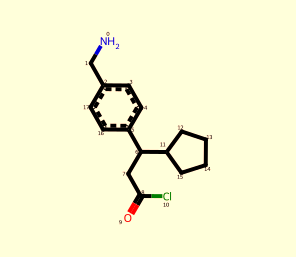 NCc1ccc(C(CC(=O)Cl)C2CCCC2)cc1